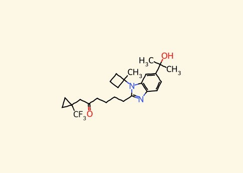 CC(C)(O)c1ccc2nc(CCCCC(=O)CC3(C(F)(F)F)CC3)n(C3(C)CCC3)c2c1